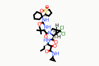 CCC[C@H](NC(=O)[C@@H]1[C@@H]2[C@H](CN1C(=O)[C@@H](NC(=O)NC1([C@@H]3CCCS3(=O)=O)CCCCC1)C(C)(C)C)C2(Cl)Cl)C(=O)C(=O)NC1CC1